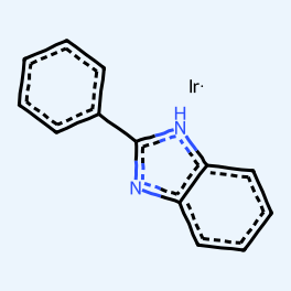 [Ir].c1ccc(-c2nc3ccccc3[nH]2)cc1